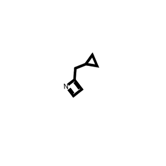 C1=NC(CC2CC2)=C1